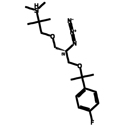 C[SiH](C)C(C)(C)COC[C@@H](COC(C)(C)c1ccc(F)cc1)N=[N+]=[N-]